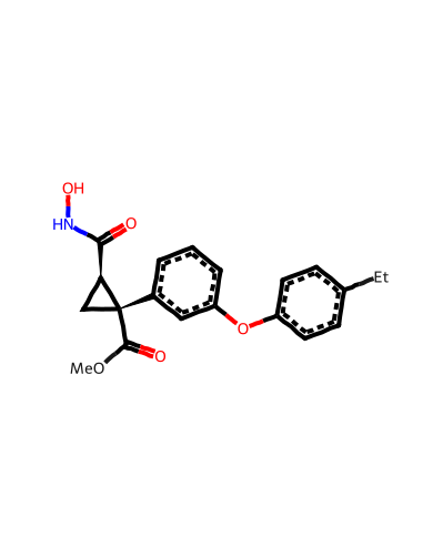 CCc1ccc(Oc2cccc([C@@]3(C(=O)OC)C[C@H]3C(=O)NO)c2)cc1